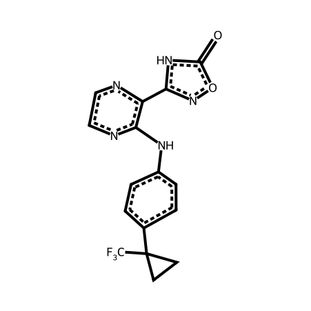 O=c1[nH]c(-c2nccnc2Nc2ccc(C3(C(F)(F)F)CC3)cc2)no1